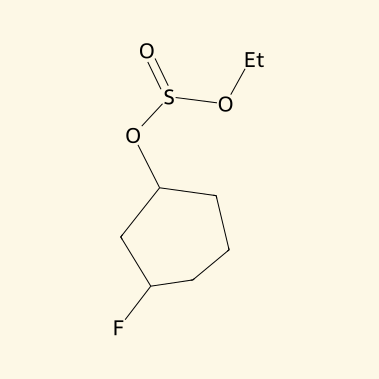 CCOS(=O)OC1CCCC(F)C1